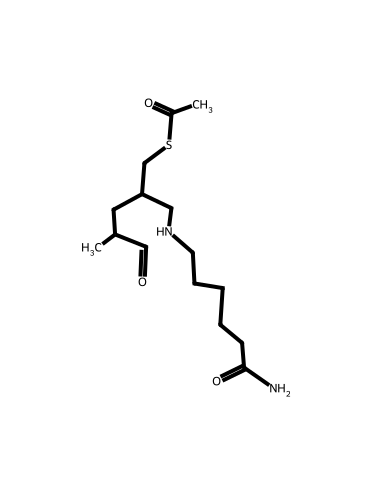 CC(=O)SCC(CNCCCCCC(N)=O)CC(C)C=O